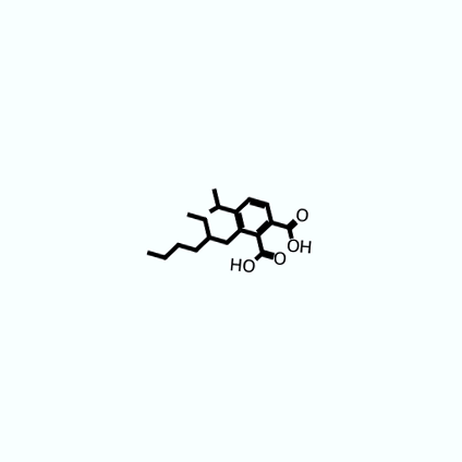 CCCCC(CC)Cc1c(C(C)C)ccc(C(=O)O)c1C(=O)O